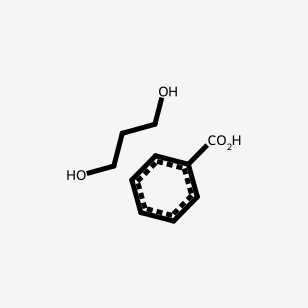 O=C(O)c1ccccc1.OCCCO